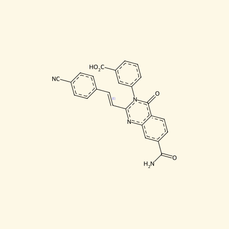 N#Cc1ccc(/C=C/c2nc3cc(C(N)=O)ccc3c(=O)n2-c2cccc(C(=O)O)c2)cc1